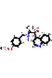 COc1ccc(CNC(C)C(=O)c2ccnc3ccccc23)cc1